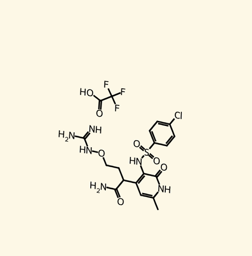 Cc1cc(C(CCONC(=N)N)C(N)=O)c(NS(=O)(=O)c2ccc(Cl)cc2)c(=O)[nH]1.O=C(O)C(F)(F)F